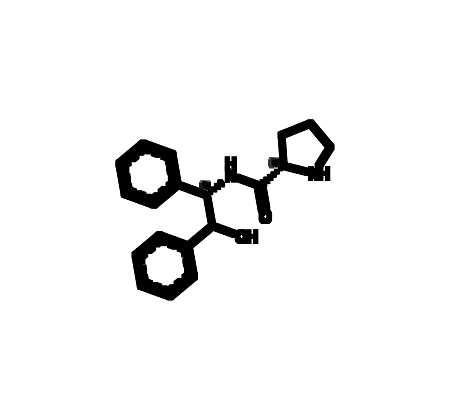 O=C(N[C@@H](c1ccccc1)C(O)c1ccccc1)[C@@H]1CCCN1